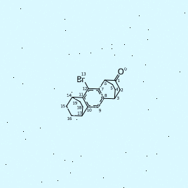 O=C1CC2CCC1c1c2cc2c(c1Br)C1CCC2CC1